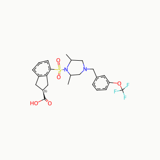 CC1CN(Cc2cccc(OC(F)(F)F)c2)CC(C)N1S(=O)(=O)c1cccc2c1C[C@@H](C(=O)O)C2